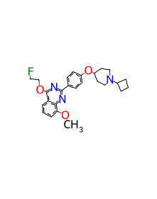 COc1cccc2c(OCCF)nc(-c3ccc(OC4CCN(C5CCC5)CC4)cc3)nc12